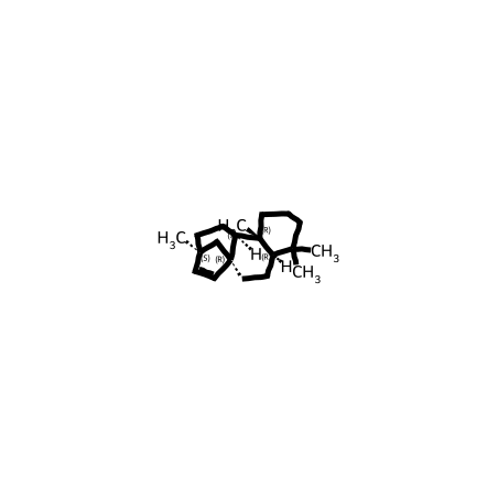 CC1(C)CCC[C@]2(C)[C@@H]1CC[C@@]13C=C[C@@](C)(CC[C@H]12)C3